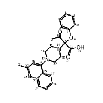 CC(=O)C(Oc1ccccc1)(C(=O)O)N1CCN(c2cc(C)nc3ccccc23)CC1